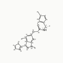 Cc1ccc([C@H](C)NC(=O)COc2cc(C)c3c(-c4nccs4)nn(C)c3n2)cc1